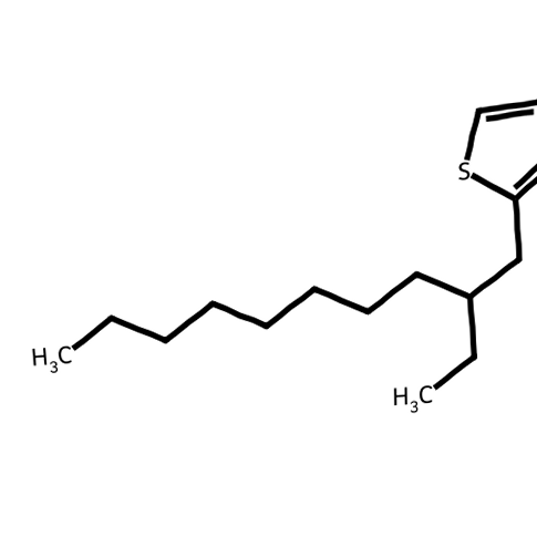 CCCCCCCCC(CC)Cc1cccs1